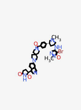 CN1C[C@H](Nc2cnn(C)c(=O)c2Br)C[C@H](c2ccc(C(=O)N3CCC4(CC3)CCN(c3ccc5c(C6CCC(=O)NC6=O)cncc5c3)CC4)cc2)C1